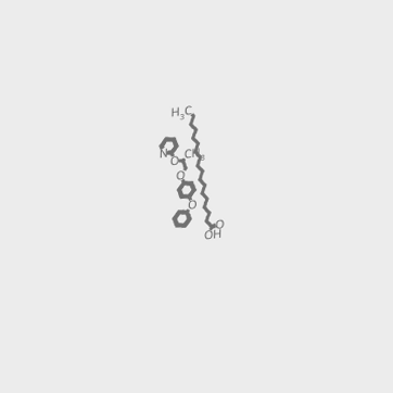 CC(COc1ccc(Oc2ccccc2)cc1)Oc1ccccn1.CCCCCCCCCCCCCCCCCC(=O)O